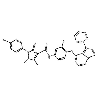 Cc1c(C(=O)Nc2ccc(Oc3ccnn4ccc(-c5cnccn5)c34)c(F)c2)c(=O)n(-c2ccc(F)cc2)n1C